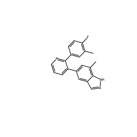 Cc1cc(-c2ncccc2-c2cc(C)c3[nH]ncc3c2)ccc1F